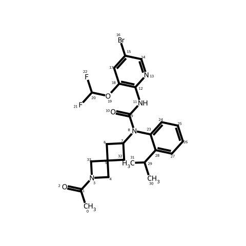 CC(=O)N1CC2(CC(N(C(=O)Nc3ncc(Br)cc3OC(F)F)c3ccccc3C(C)C)C2)C1